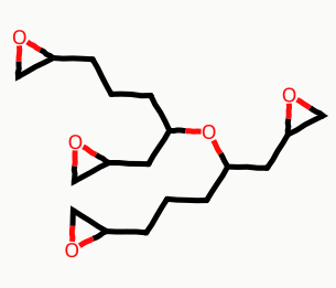 C(CC1CO1)CC(CC1CO1)OC(CCCC1CO1)CC1CO1